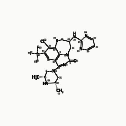 C[C@@H]1CN(c2nc(=O)n3c4c(c(Cl)c(C(F)(F)F)cc24)SCC(Nc2ncccn2)C3)C[C@H](C)N1